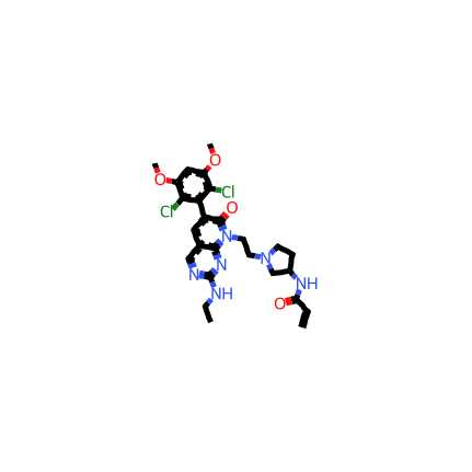 C=CC(=O)NC1CCN(CCn2c(=O)c(-c3c(Cl)c(OC)cc(OC)c3Cl)cc3cnc(NCC)nc32)C1